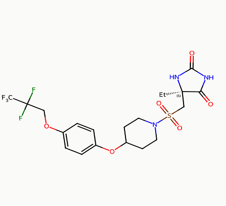 CC[C@]1(CS(=O)(=O)N2CCC(Oc3ccc(OCC(F)(F)C(F)(F)F)cc3)CC2)NC(=O)NC1=O